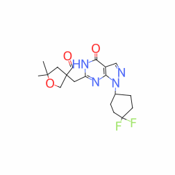 CC1(C)CC(C=O)(Cc2nc3c(cnn3C3CCC(F)(F)CC3)c(=O)[nH]2)CO1